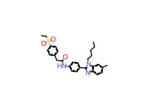 CCCCCn1c(-c2ccc(NC(=O)Cc3ccc(S(=O)(=O)CC)cc3)cc2)nc2ccc(C)cc21